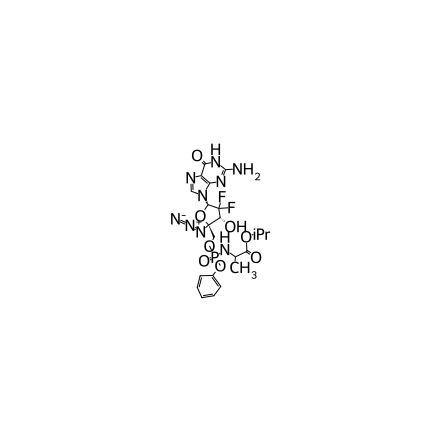 CC(C)OC(=O)C(C)NP(=O)(OC[C@@]1(N=[N+]=[N-])O[C@@H](n2cnc3c(=O)[nH]c(N)nc32)C(F)(F)[C@@H]1O)Oc1ccccc1